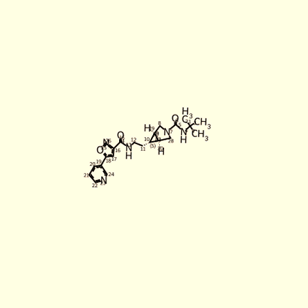 CC(C)(C)NC(=O)N1C[C@@H]2[C@@H](CCNC(=O)c3cc(-c4cccnc4)on3)[C@@H]2C1